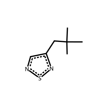 CC(C)(C)Cc1cnsn1